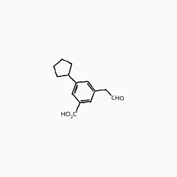 O=CCc1cc(C(=O)O)cc(C2CCCC2)c1